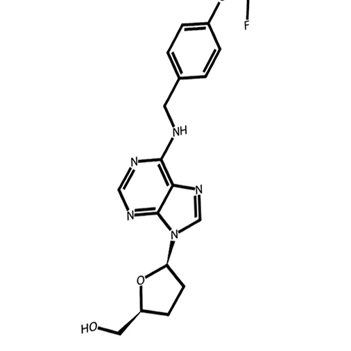 OC[C@@H]1CC[C@H](n2cnc3c(NCc4ccc(OC(F)(F)F)cc4)ncnc32)O1